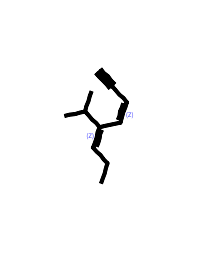 C#C/C=C\C(=C/CC)C(C)C